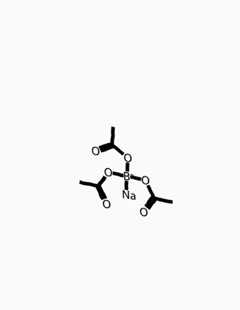 CC(=O)O[B-]([Na])(OC(C)=O)OC(C)=O